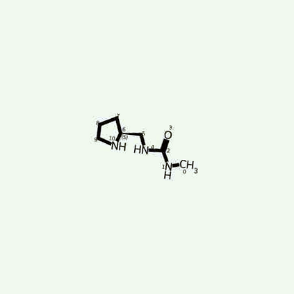 CNC(=O)NC[C@@H]1CCCN1